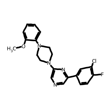 COc1ccccc1N1CCN(c2cncc(-c3ccc(F)c(Cl)c3)n2)CC1